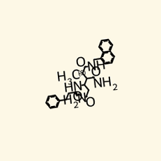 C[C@H](C(=O)NCc1cccc2ccccc12)C(C(N)=O)C(CC(N)=O)NC(=O)CCc1ccccc1